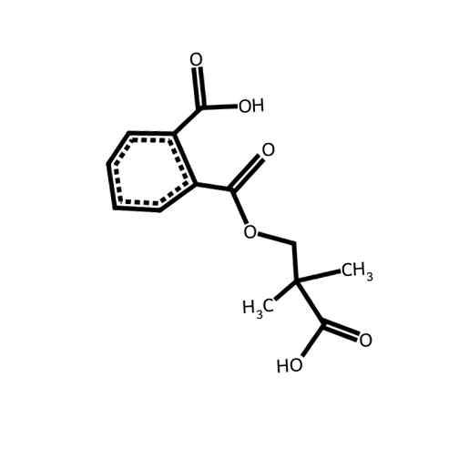 CC(C)(COC(=O)c1ccccc1C(=O)O)C(=O)O